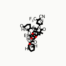 CCc1cc(N2C(=S)N(c3cnc(C#N)c(C(F)(F)F)c3)C(=O)C2(C)C)ccc1OC1C[C@H]2CC[C@@H](C1)N2CC(=O)Nc1cccc(NC2CCC(=O)NC2=O)c1